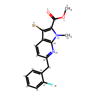 COC(=O)c1c(Br)c2ccc(Cc3ccccc3F)nc2n1C